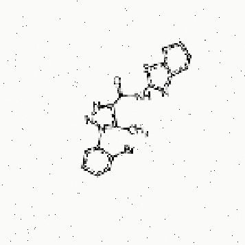 Cc1c(C(=O)Nc2nc3ccccc3s2)nnn1-c1ccccc1Br